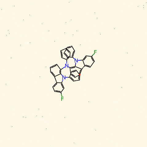 Fc1ccc2c3cccc(N(c4ccccc4)c4cccc5c6ccc(F)cc6n(-c6ccccc6)c45)c3n(-c3ccccc3)c2c1